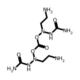 NCCN(NC(N)=O)OC(=O)ON(CCN)NC(N)=O